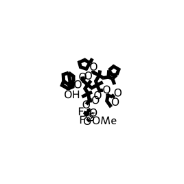 COS(=O)(=O)C(F)(F)COC(=O)C(C)(C)CC(C)(CC(C)(CC(C)(CC1C2CCC(C2)C1C)C(=O)OC1(C)CCCC1)C(=O)OC1CCOC1=O)C(=O)OC12CC3CC(CC(O)(C3)C1)C2